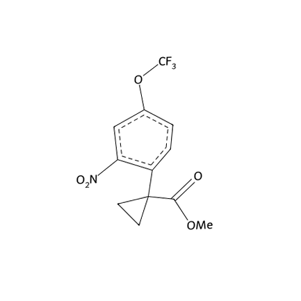 COC(=O)C1(c2ccc(OC(F)(F)F)cc2[N+](=O)[O-])CC1